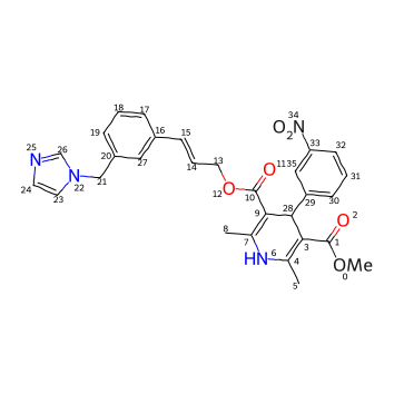 COC(=O)C1=C(C)NC(C)=C(C(=O)OC/C=C/c2cccc(Cn3ccnc3)c2)C1c1cccc([N+](=O)[O-])c1